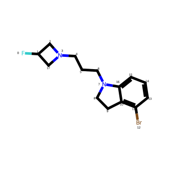 FC1CN(CCCN2CCc3c(Br)cccc32)C1